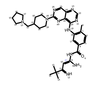 Cc1ccc(C(=O)N/C(N)=C/C(=N)C(C)(C)C)cc1Nc1ncnc2cnc(N3CCC(CN4CCCC4)CC3)nc12